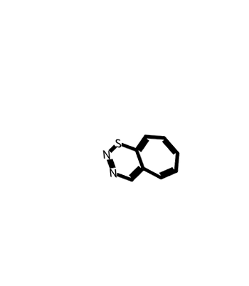 C1=CC=C2SN=NC=C2C=C1